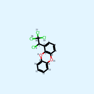 ClC(c1cccc2c1Oc1ccccc1O2)C(Cl)(Cl)Cl